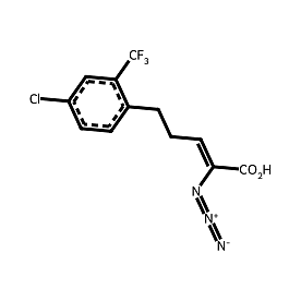 [N-]=[N+]=NC(=CCCc1ccc(Cl)cc1C(F)(F)F)C(=O)O